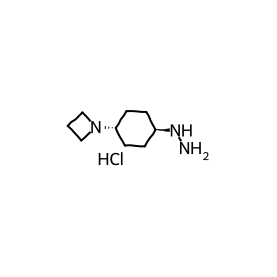 Cl.NN[C@H]1CC[C@H](N2CCC2)CC1